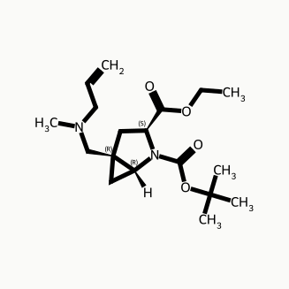 C=CCN(C)C[C@@]12C[C@@H](C(=O)OCC)N(C(=O)OC(C)(C)C)[C@@H]1C2